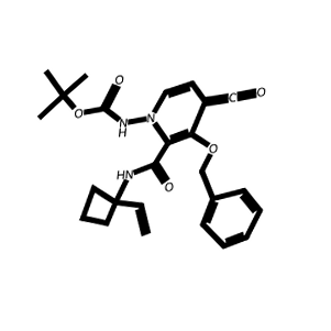 C=CC1(NC(=O)C2=C(OCc3ccccc3)C(=C=O)C=CN2NC(=O)OC(C)(C)C)CCC1